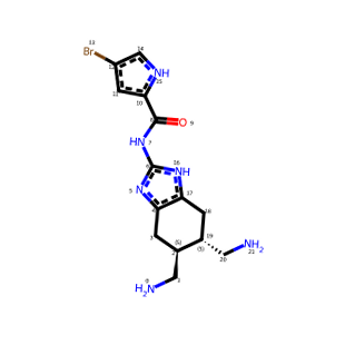 NC[C@H]1Cc2nc(NC(=O)c3cc(Br)c[nH]3)[nH]c2C[C@@H]1CN